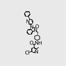 Cc1ncc(Cl)cc1C(=O)N[C@H]1CC[C@H](Cn2c(=O)n(-c3ccc(-c4ccccc4)nc3)c3ccccc32)CC1